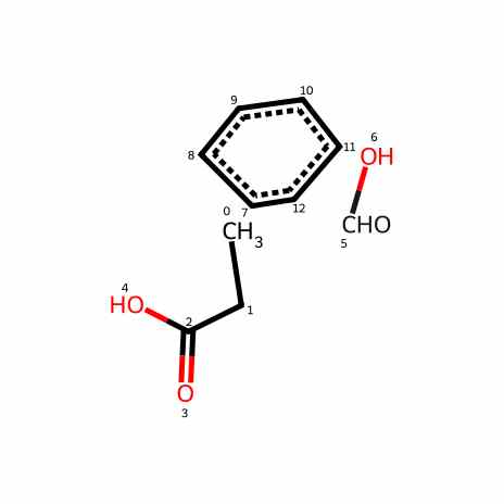 CCC(=O)O.O=CO.c1ccccc1